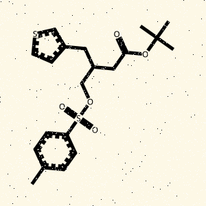 Cc1ccc(S(=O)(=O)OCC(CC(=O)OC(C)(C)C)Cc2ccsc2)cc1